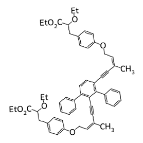 CCOC(=O)C(Cc1ccc(OCC=C(C)C#Cc2ccc(-c3ccccc3)c(C#CC(C)=CCOc3ccc(CC(OCC)C(=O)OCC)cc3)c2-c2ccccc2)cc1)OCC